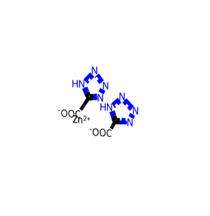 O=C([O-])c1nnn[nH]1.O=C([O-])c1nnn[nH]1.[Zn+2]